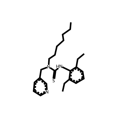 CCCCCCCN(Cc1cccnc1)C(=S)Nc1c(CC)cccc1CC